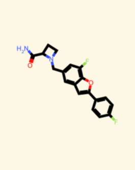 NC(=O)C1CCN1Cc1cc(F)c2oc(-c3ccc(F)cc3)cc2c1